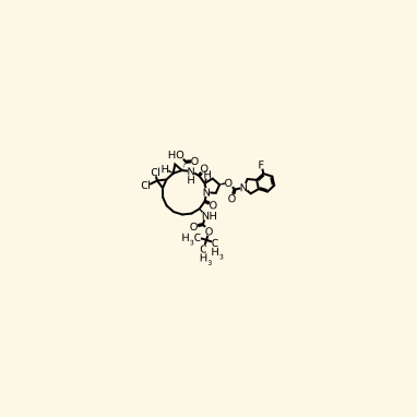 CC(C)(C)OC(=O)N[C@H]1CCCCCC2C([C@@H]3C[C@@]3(C(=O)O)NC(=O)[C@@H]3C[C@@H](OC(=O)N4Cc5cccc(F)c5C4)CN3C1=O)C2(Cl)Cl